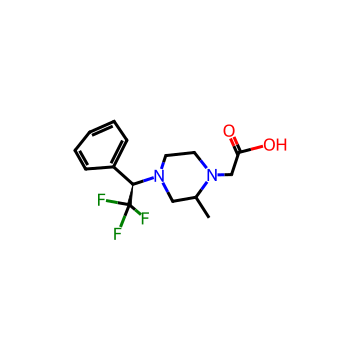 CC1CN([C@H](c2ccccc2)C(F)(F)F)CCN1CC(=O)O